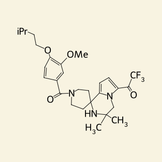 COc1cc(C(=O)N2CCC3(CC2)NC(C)(C)Cn2c(C(=O)C(F)(F)F)ccc23)ccc1OCCC(C)C